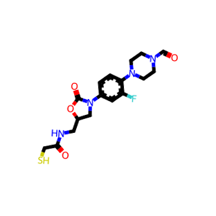 O=CN1CCN(c2ccc(N3CC(CNC(=O)CS)OC3=O)cc2F)CC1